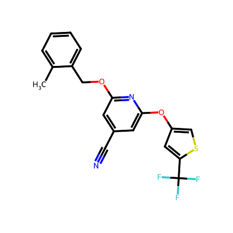 Cc1ccccc1COc1cc(C#N)cc(Oc2csc(C(F)(F)F)c2)n1